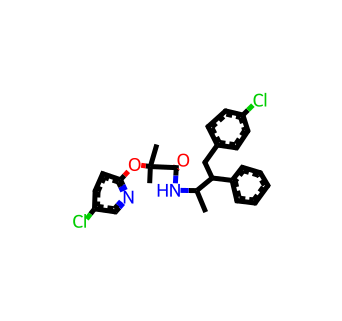 CC(NC(=O)C(C)(C)Oc1ccc(Cl)cn1)C(Cc1ccc(Cl)cc1)c1ccccc1